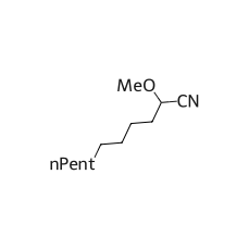 CCCCCCCCCC(C#N)OC